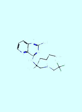 CCCCC(C)(CNCC(F)(F)F)Nc1nc(N)nc2cccnc12